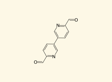 O=Cc1ccc(-c2ccc(C=O)nc2)cn1